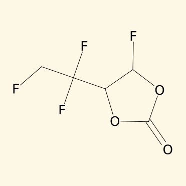 O=C1OC(F)C(C(F)(F)CF)O1